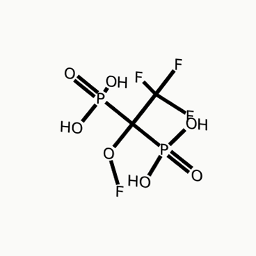 O=P(O)(O)C(OF)(C(F)(F)F)P(=O)(O)O